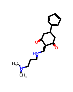 CN(C)CCCNC=C1C(=O)CC(c2ccccc2)CC1=O